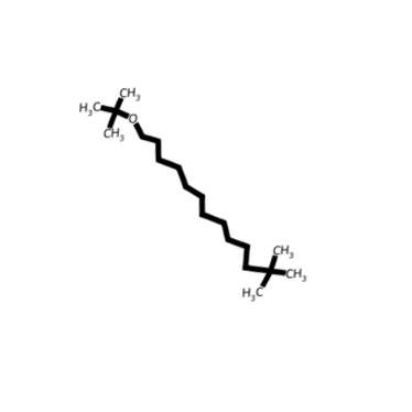 CC(C)(C)CCCCCCCCCCCOC(C)(C)C